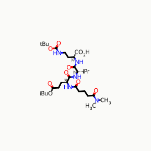 CC(C)COC(=O)CC[C@H](NC(=O)CCCC(=O)N(C)C)C(=O)N[C@H](C(=O)N[C@@H](CCNC(=O)OC(C)(C)C)C(=O)O)C(C)C